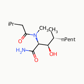 CCCCC[C@@H](C)[C@@H](O)[C@@H](C(N)=O)N(C)C(=O)CC(C)C